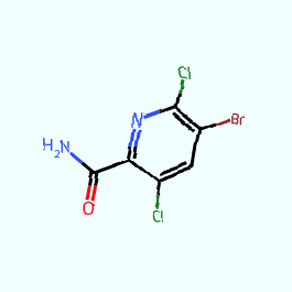 NC(=O)c1nc(Cl)c(Br)cc1Cl